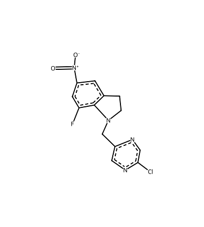 O=[N+]([O-])c1cc(F)c2c(c1)CCN2Cc1cnc(Cl)cn1